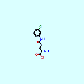 N[C@@H](CCC(=O)Nc1cccc(Cl)c1)C(=O)O